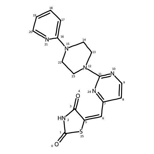 O=C1NC(=O)/C(=C\c2ccnc(N3CCN(c4ccccn4)CC3)n2)S1